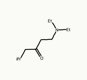 CCN(CC)CCC(=O)CC(C)C